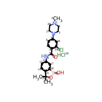 CN1CCN(c2ccc(C(=O)Nc3ccc4c(c3)B(O)OC4(C)C)c(Cl)c2)CC1.Cl